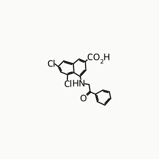 O=C(O)c1cc(NCC(=O)c2ccccc2)c2c(Cl)cc(Cl)cc2c1